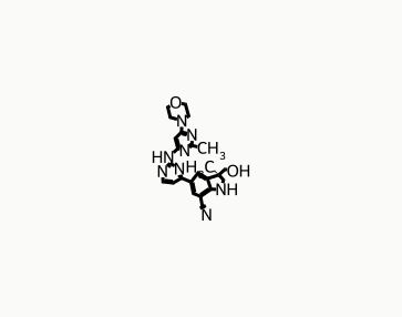 Cc1nc(Nc2nccc(-c3cc(C#N)c4c(c3)[C@@](C)(CO)CN4)n2)cc(N2CCOCC2)n1